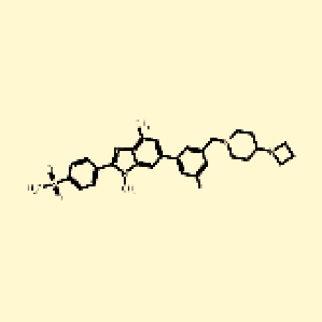 Cc1cc(-c2cc(F)cc(CN3CCC(N4CCC4)CC3)c2)cc2c1nc(-c1ccc(S(C)(=O)=O)cc1)n2C